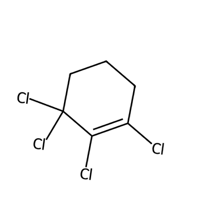 ClC1=C(Cl)C(Cl)(Cl)CCC1